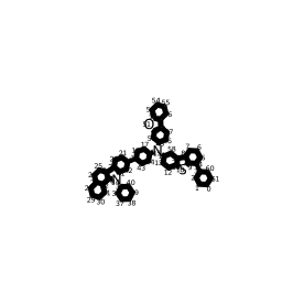 c1ccc(-c2cccc3c2sc2ccc(N(c4ccc(-c5ccc6c7ccc8ccccc8c7n(-c7ccccc7)c6c5)cc4)c4ccc5c(c4)oc4ccccc45)cc23)cc1